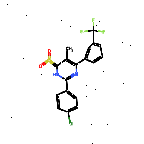 Cc1c(-c2cccc(C(F)(F)F)c2)nc(-c2ccc(Cl)cc2)[nH]c1=S(=O)=O